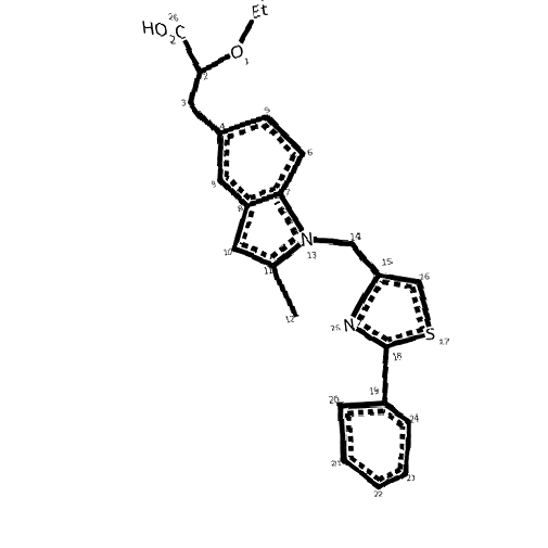 CCOC(Cc1ccc2c(c1)cc(C)n2Cc1csc(-c2ccccc2)n1)C(=O)O